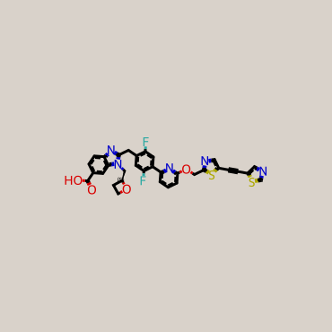 O=C(O)c1ccc2nc(Cc3cc(F)c(-c4cccc(OCc5ncc(C#Cc6cncs6)s5)n4)cc3F)n(C[C@@H]3CCO3)c2c1